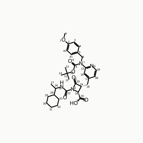 COc1ccc(CN(C(=O)OC(C)(C)C)c2cc(C[C@H]3C(=O)N(C(=O)NC(C)C4CCCCC4)[C@@H]3C(=O)O)ccn2)cc1